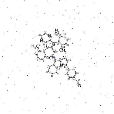 Cc1cccc(C)c1N1C(=C/C=c2/c3ccccc3n3c(-c4ccc(C#N)cc4)cnc23)N(c2c(C)cccc2C)c2nccnc21